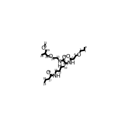 CCCOCCC(=O)N[C@H](CCCCNC(=O)CCC)C(=O)NCCOCC(C)COC